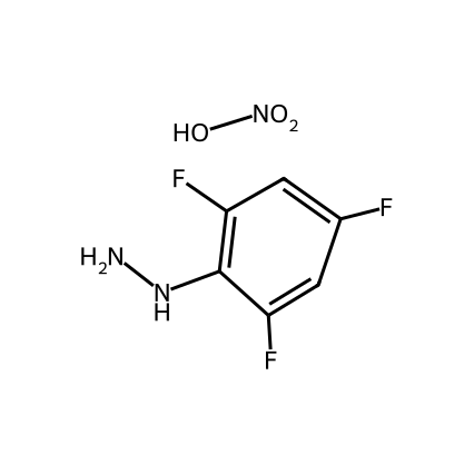 NNc1c(F)cc(F)cc1F.O=[N+]([O-])O